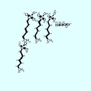 CCCCCCS(=O)(=O)[O-].CCCCCCS(=O)(=O)[O-].CCCCCCS(=O)(=O)[O-].CCCCCCS(=O)(=O)[O-].[Na+].[Na+].[Na+].[Na+]